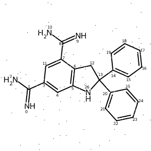 N=C(N)c1cc2c(c(C(=N)N)c1)CC(c1ccccc1)(c1ccccc1)N2